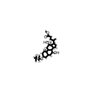 COC(=O)CCC(C)C1CCC2C3C(C[C@H](O)[C@]12C)[C@@]1(C)CC[C@@H](O[Si](C)(C)C(C)(C)C)CC1C[C@H]3O